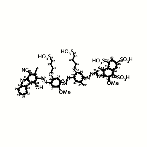 COc1cc(N=Nc2c(C)c(C#N)c3nc4ccccc4n3c2O)c(OCCCS(=O)(=O)O)cc1N=Nc1cc(C)c(N=Nc2nc3c(OC)c(S(=O)(=O)O)c4cc(S(=O)(=O)O)cc(S(=O)(=O)O)c4c3s2)cc1SCCCS(=O)(=O)O